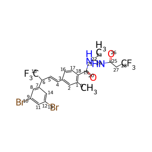 Cc1cc(C=CC(c2cc(Br)cc(Br)c2)C(F)(F)F)ccc1C(=O)N[C@H](C)NC(=O)CC(F)(F)F